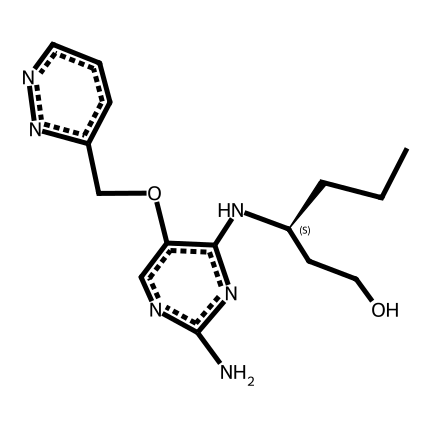 CCC[C@@H](CCO)Nc1nc(N)ncc1OCc1cccnn1